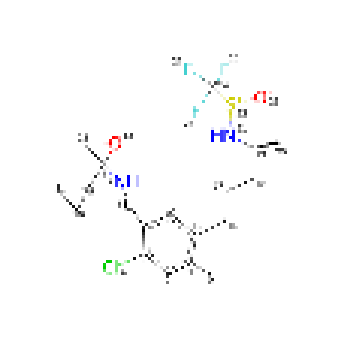 Cc1cc(Cl)c(CN[C@]2(C3CC3)CO2)cc1CCC[C@H](C)N[S+]([O-])C(F)(F)F